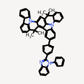 CC1(C)c2c(cc3c4c2c2cc(-c5ccc(-c6nc7ccccc7n6-c6ccccc6)cc5)ccc2n4-c2ccccc2C3(C)C)-n2c3ccccc3c3cccc1c32